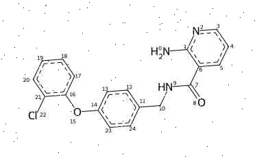 Nc1ncccc1C(=O)NCc1ccc(Oc2ccccc2Cl)cc1